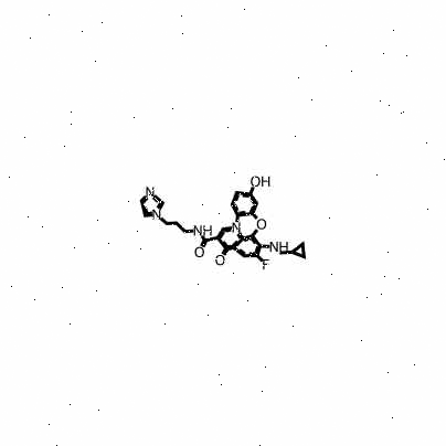 O=C(NCCCn1ccnc1)c1cn2c3c(c(NCC4CC4)c(F)cc3c1=O)Oc1cc(O)ccc1-2